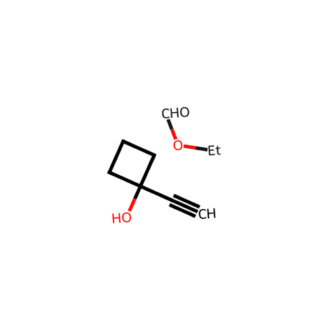 C#CC1(O)CCC1.CCOC=O